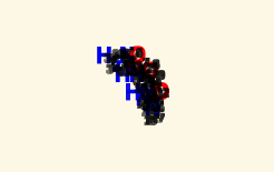 Cc1c(OC(N)=O)cccc1C(=O)NC1CC2CCC(C1)N2c1ccc(C(=O)NCc2ccccc2)cn1